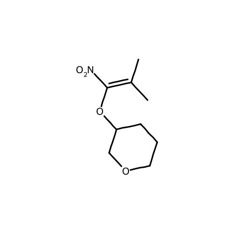 CC(C)=C(OC1CCCOC1)[N+](=O)[O-]